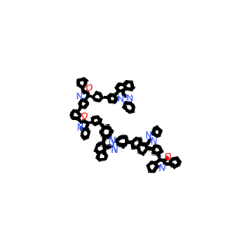 c1cc(-c2ccc3c(c2)c2ccc4ccccc4c2c2nc4cc(-c5ccc6c(ccc7c8cc(-c9c%10ccccc%10nc%10c9oc9ccccc9%10)ccc8n8c9ccccc9nc8c67)c5)ccc4n32)cc(-c2c3ccccc3nc3c2oc2c(-c4ccc5c(-c6ccc(-c7ccc8c(c7)c7ccc9ccccc9c7c7nc9ccccc9n87)cc6)c6oc7ccccc7c6nc5c4)cccc23)c1